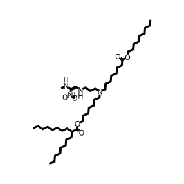 CCCCCCCCCOC(=O)CCCCCCCN(CCCCCCCOC(=O)C(CCCCCCCC)CCCCCCCC)CCCNC=C(NC)[N+](=O)[O-]